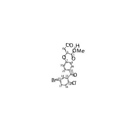 COC(=O)[C@H](CC(=O)O)Oc1ccc(C(=O)c2cc(Br)ccc2Cl)cc1